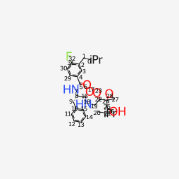 CC(C)Cc1cc(C(=O)N[C@@H](Cc2ccccc2)C(=O)N[C@@H](CC(C)C)C(=O)[C@@]2(CO)CO2)ccc1F